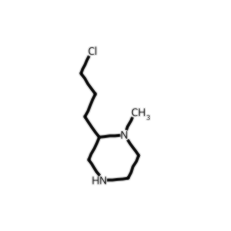 CN1CCNCC1CCCCl